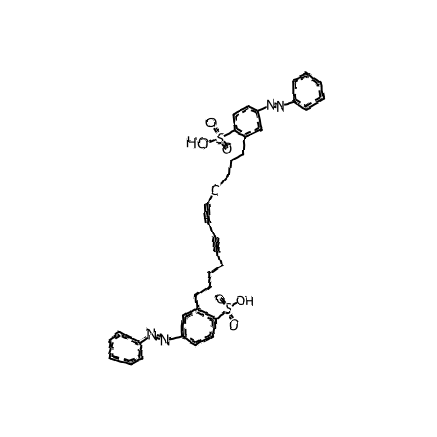 O=S(=O)(O)c1ccc(N=Nc2ccccc2)cc1CCCCC#CC#CCCCCc1cc(N=Nc2ccccc2)ccc1S(=O)(=O)O